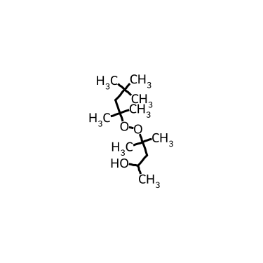 CC(O)CC(C)(C)OOC(C)(C)CC(C)(C)C